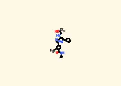 Cc1cc(-c2cnc3c(NCC(O)C(F)(F)F)cc(-c4ccccc4)nn23)ccc1C(=O)NC1CC1